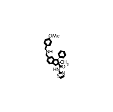 COc1ccc(CNCc2ccc3c(c2)[C@H](c2ccccc2)[C@](C)(C(=O)Nc2nccs2)C3)cc1